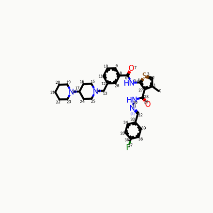 Cc1csc(NC(=O)c2cccc(CN3CCC(N4CCCCC4)CC3)c2)c1C(=O)N/N=C/c1ccc(F)cc1